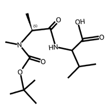 CC(C)C(NC(=O)[C@H](C)N(C)C(=O)OC(C)(C)C)C(=O)O